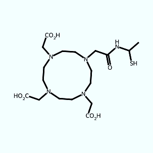 CC(S)NC(=O)CN1CCN(CC(=O)O)CCN(CC(=O)O)CCN(CC(=O)O)CC1